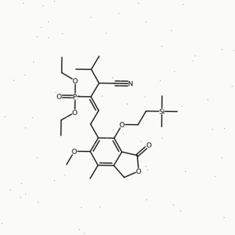 CCOP(=O)(OCC)C(=CCc1c(OC)c(C)c2c(c1OCC[Si](C)(C)C)C(=O)OC2)C(C#N)C(C)C